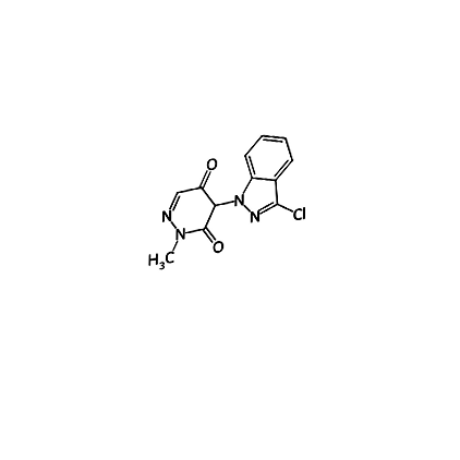 CN1N=CC(=O)C(n2nc(Cl)c3ccccc32)C1=O